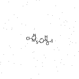 O=C(Nc1ccc(Sc2cncc(Cl)n2)cc1)C1CC1